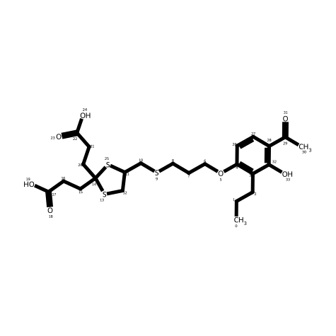 CCCc1c(OCCCSCC2CSC(CCC(=O)O)(CCC(=O)O)S2)ccc(C(C)=O)c1O